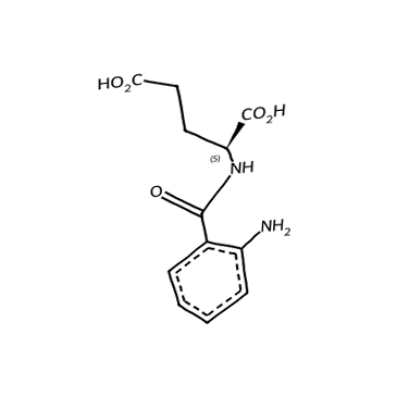 Nc1ccccc1C(=O)N[C@@H](CCC(=O)O)C(=O)O